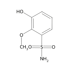 COc1c(O)cccc1S(N)(=O)=O